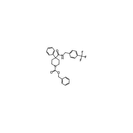 O=C(OCc1ccccc1)N1CCC(C(=O)NCc2ccc(C(F)(F)F)cc2)(c2ccccc2)CC1